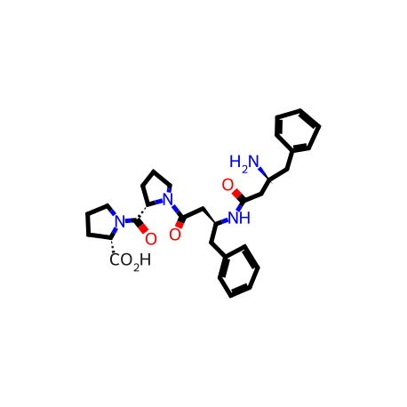 N[C@H](CC(=O)N[C@H](CC(=O)N1CCC[C@H]1C(=O)N1CCC[C@H]1C(=O)O)Cc1ccccc1)Cc1ccccc1